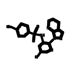 CC(C)(C)c1ccc(S(=O)(=O)Nc2cc(Cl)cnc2-n2ncc3cccnc32)cc1